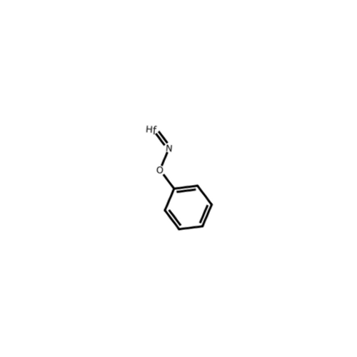 [Hf]=[N]Oc1ccccc1